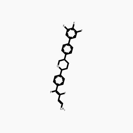 C/C=C/C(F)=C(\F)c1ccc(C2CCC(c3ccc(-c4cc(F)c(F)c(F)c4)cc3)CO2)cc1